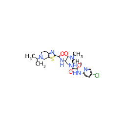 CC(C)N1CCc2nc(C(=O)NC(CNC(=O)C(=O)Nc3ccc(Cl)cn3)C(=O)N(C)C)sc2C1